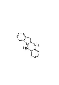 c1ccc2c(c1)Nc1cc3ccccc3n1N2